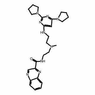 CN(CCNC(=O)c1cnc2ccccc2n1)CCNc1cc(N2CCCC2)nc(N2CCCC2)n1